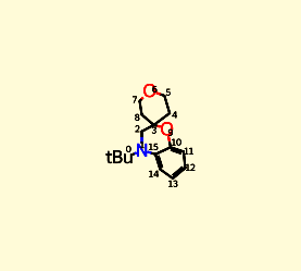 CC(C)(C)N1CC2(CCOCC2)Oc2ccccc21